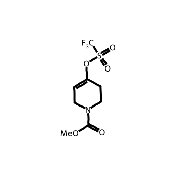 COC(=O)N1CC=C(OS(=O)(=O)C(F)(F)F)CC1